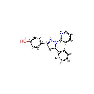 Oc1ccc(C2=NN(c3ccccn3)C(c3ccccc3)C2)cc1